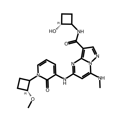 CNc1cc(Nc2cccn(C3CC[C@H]3OC)c2=O)nc2c(C(=O)NC3CC[C@H]3O)cnn12